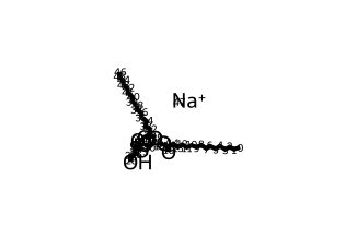 CCCCCCCCCCCCCCCC(=O)OC[C@H](COP(=O)([O-])SCCO)OC(=O)CCCCCCCCCCCCCCC.[Na+]